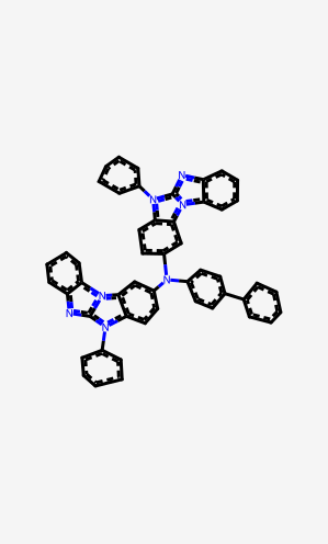 c1ccc(-c2ccc(N(c3ccc4c(c3)n3c5ccccc5nc3n4-c3ccccc3)c3ccc4c(c3)n3c5ccccc5nc3n4-c3ccccc3)cc2)cc1